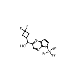 CC(C)[Si](C(C)C)(C(C)C)n1ccc2nc(C(O)C3CC(F)(F)C3)cnc21